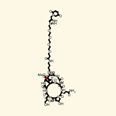 CC[C@H](C)[C@@H]1NC(=O)CNC(=O)[C@@H]2Cc3c([nH]c4c(CSCCCCNC(=O)CCOCCOCCOCCOCCN5C=C(CN6CC(=O)C=CC6=O)NN5)c(OC)ccc34)[S+]([O-])C[C@H](NC(=O)CNC1=O)C(=O)N[C@@H](CCC(N)=O)C(=O)N1C[C@H](O)C[C@H]1C(=O)N[C@@H]([C@@H](C)[C@@H](O)CO)C(=O)N2